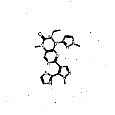 CC[C@@H]1C(=O)N(C)c2cnc(-c3cnn(C)c3-c3nccs3)nc2N1c1ccn(C)n1